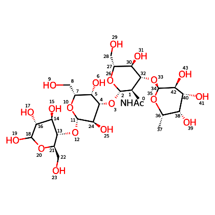 CC(=O)N[C@H]1[C@H](O[C@H]2[C@@H](O)[C@@H](CO)O[C@@H](O[C@H]3[C@H](O)[C@@H](O)C(O)O[C@@H]3CO)[C@@H]2O)O[C@H](CO)[C@@H](O)[C@@H]1O[C@@H]1O[C@@H](C)[C@@H](O)[C@@H](O)[C@@H]1O